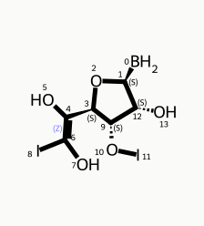 B[C@@H]1O[C@H](/C(O)=C(\O)I)[C@@H](OI)[C@H]1O